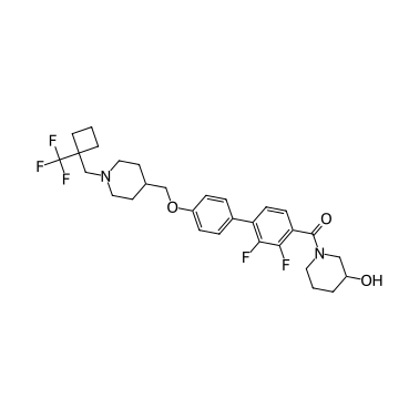 O=C(c1ccc(-c2ccc(OCC3CCN(CC4(C(F)(F)F)CCC4)CC3)cc2)c(F)c1F)N1CCCC(O)C1